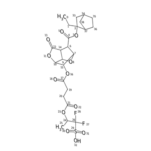 CCC1(OC(=O)C2C3OC4C(OC(=O)C42)C3OC(=O)CCC(=O)OC(C)C(F)(F)S(=O)(=O)O)CC2CCC1C2